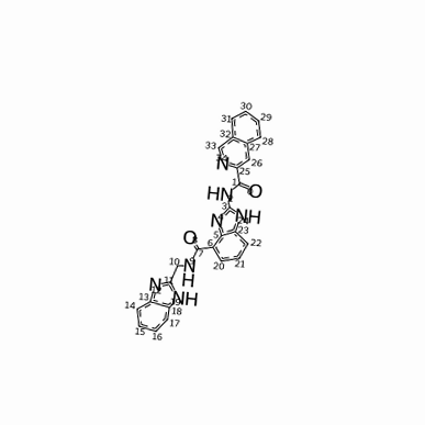 O=C(Nc1nc2c(C(=O)NCc3nc4ccccc4[nH]3)cccc2[nH]1)c1cc2ccccc2cn1